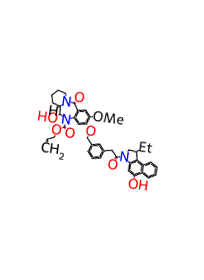 C=CCOC(=O)N1c2cc(OCc3cccc(CC(=O)N4C[C@@H](CC)c5c4cc(O)c4ccccc54)c3)c(OC)cc2C(=O)N2CCCC[C@H]2C1O